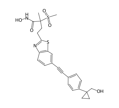 CC(CCc1nc2ccc(C#Cc3ccc(C4(CO)CC4)cc3)cc2s1)(C(=O)NO)S(C)(=O)=O